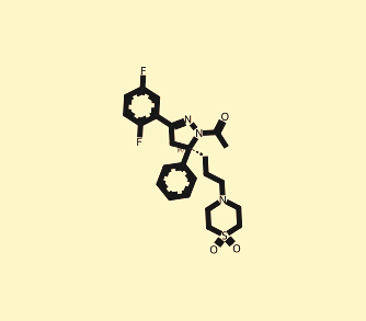 CC(=O)N1N=C(c2cc(F)ccc2F)C[C@]1(CCCN1CCS(=O)(=O)CC1)c1ccccc1